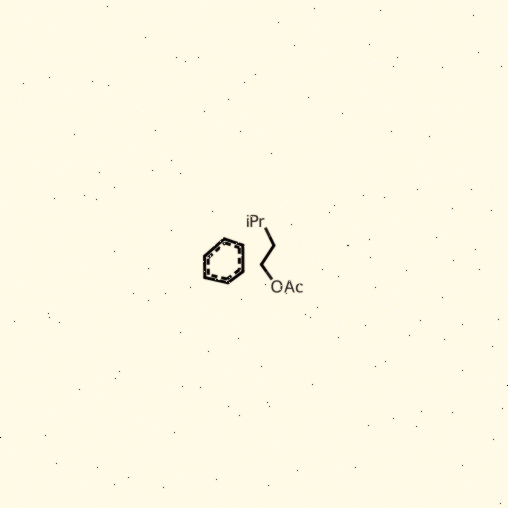 CC(=O)OCCC(C)C.c1ccccc1